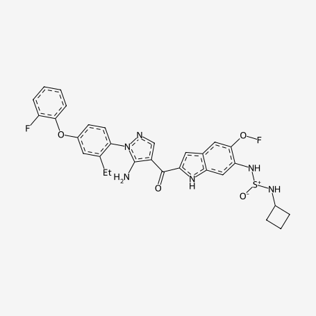 CCc1cc(Oc2ccccc2F)ccc1-n1ncc(C(=O)c2cc3cc(OF)c(N[S+]([O-])NC4CCC4)cc3[nH]2)c1N